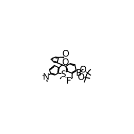 CN(C)c1ccc2c(c1)S(C)(C)c1c(ccc(B3OC(C)(C)C(C)(C)O3)c1CF)C21OC(=O)c2ccccc21